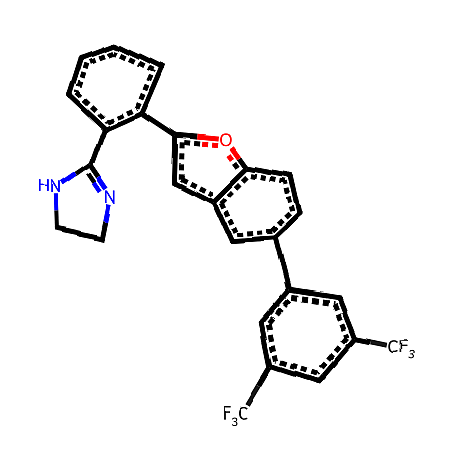 FC(F)(F)c1cc(-c2ccc3oc(-c4ccccc4C4=NCCN4)cc3c2)cc(C(F)(F)F)c1